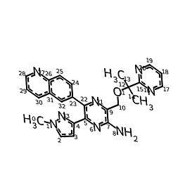 Cn1ccc(-c2nc(N)c(COC(C)(C)c3ncccn3)nc2-c2ccc3ncccc3c2)n1